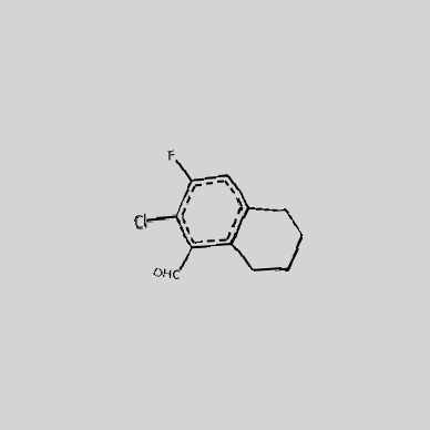 O=Cc1c(Cl)c(F)cc2c1CCCC2